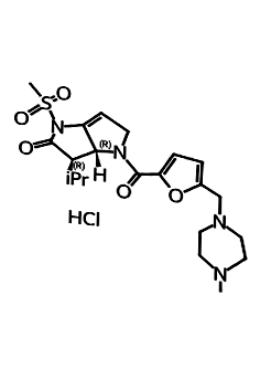 CC(C)[C@H]1C(=O)N(S(C)(=O)=O)C2=CCN(C(=O)c3ccc(CN4CCN(C)CC4)o3)[C@@H]21.Cl